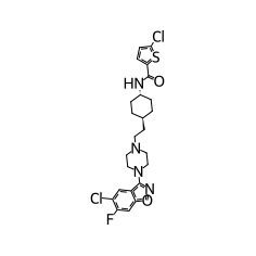 O=C(N[C@H]1CC[C@H](CCN2CCN(c3noc4cc(F)c(Cl)cc34)CC2)CC1)c1ccc(Cl)s1